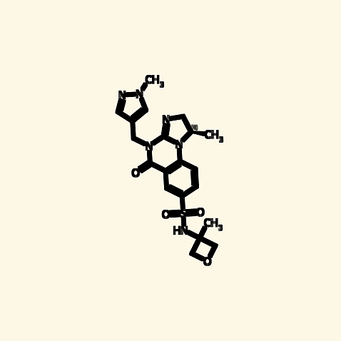 C[C@@H]1CN=C2N(Cc3cnn(C)c3)C(=O)c3cc(S(=O)(=O)NC4(C)COC4)ccc3N21